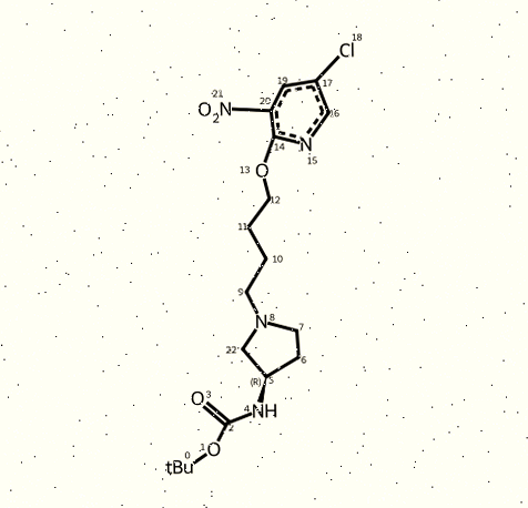 CC(C)(C)OC(=O)N[C@@H]1CCN(CCCCOc2ncc(Cl)cc2[N+](=O)[O-])C1